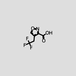 O=C(O)c1nocc1CC(F)(F)F